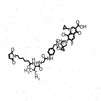 CC(C)C(NC(=O)CCCCCN1C(=O)C=CC1=O)C(=O)NCC(=O)Nc1ccc(C[N+](C)(C)[C@@H]2CN(c3c(F)cc4c(=O)c(C(=O)O)cn(C5CC5)c4c3Cl)CC23CC3)cc1